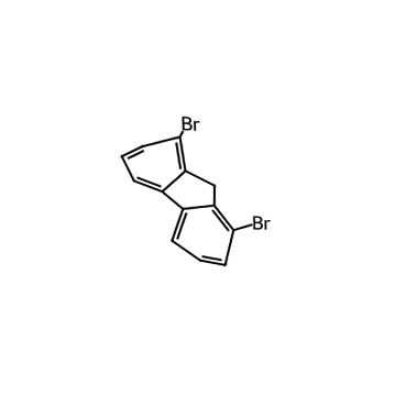 Brc1cccc2c1Cc1c(Br)cccc1-2